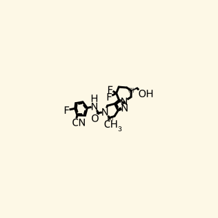 C[C@@H]1Cc2nn3c(c2CN1C(=O)Nc1ccc(F)c(C#N)c1)C(F)(F)CC[C@@H](CO)C3